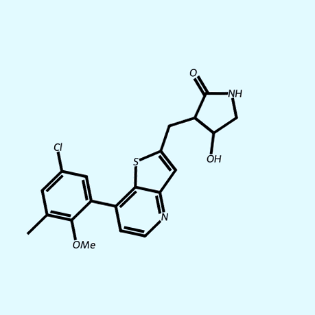 COc1c(C)cc(Cl)cc1-c1ccnc2cc(CC3C(=O)NCC3O)sc12